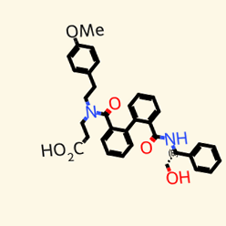 COc1ccc(CCN(CCC(=O)O)C(=O)c2ccccc2-c2ccccc2C(=O)N[C@@H](CO)c2ccccc2)cc1